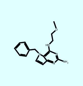 COCCNc1nc(N)nc2ccn(Cc3ccccc3)c12